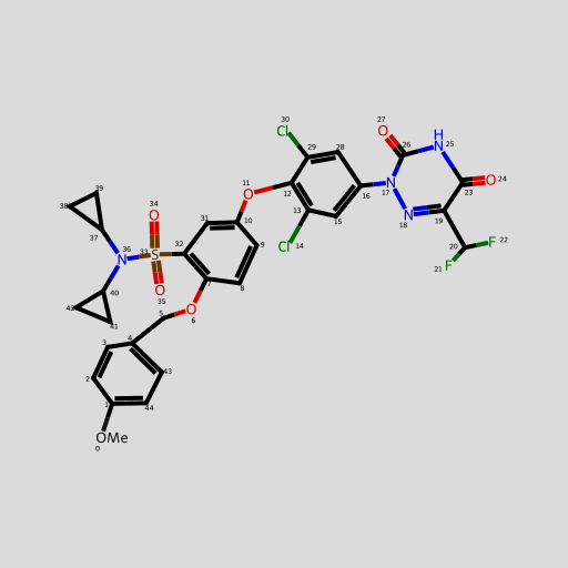 COc1ccc(COc2ccc(Oc3c(Cl)cc(-n4nc(C(F)F)c(=O)[nH]c4=O)cc3Cl)cc2S(=O)(=O)N(C2CC2)C2CC2)cc1